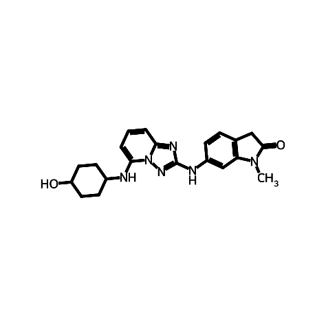 CN1C(=O)Cc2ccc(Nc3nc4cccc(NC5CCC(O)CC5)n4n3)cc21